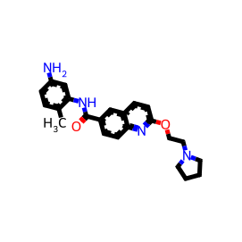 Cc1ccc(N)cc1NC(=O)c1ccc2nc(OCCN3CCCC3)ccc2c1